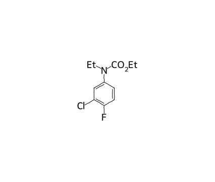 CCOC(=O)N(CC)c1ccc(F)c(Cl)c1